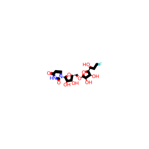 O=c1ccn([C@@H]2O[C@H](CO[C@H]3O[C@@H](C(O)CCF)[C@H](O)[C@H]3O)[C@@H](O)[C@H]2O)c(=O)[nH]1